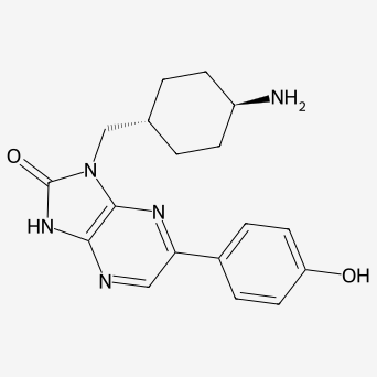 N[C@H]1CC[C@H](Cn2c(=O)[nH]c3ncc(-c4ccc(O)cc4)nc32)CC1